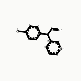 O=CC(c1ccc(Cl)cc1)c1cccnc1